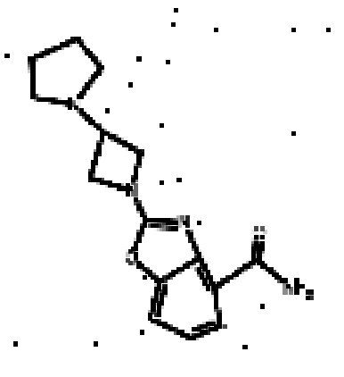 NC(=O)c1[c]ccc2oc(N3CC(N4CCCC4)C3)nc12